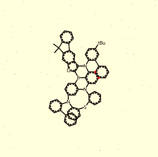 CC(C)(C)c1ccc(N2c3cccc4c3B(c3ccc5cc3N4c3ccccc3Sc3ccccc3N5c3ccccc3-c3ccccc3)c3oc4cc5c(cc4c32)-c2ccccc2C5(C)C)c(-c2ccccc2)c1